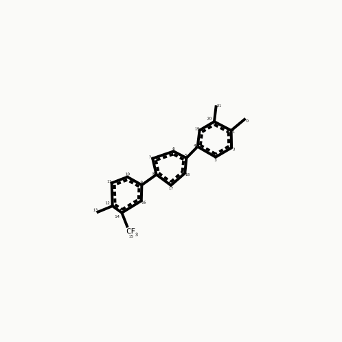 Cc1ccc(-c2ccc(-c3ccc(C)c(C(F)(F)F)c3)cc2)cc1C